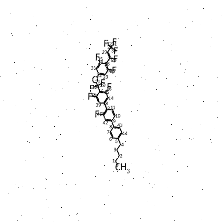 CCCCCc1ccc(-c2ccc(-c3cc(F)c(C(F)(F)Oc4cc(F)c(/C(F)=C/C(F)(F)F)c(F)c4)c(F)c3)c(F)c2)cc1